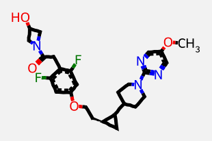 COc1cnc(N2CCC(C3C[C@H]3CCOc3cc(F)c(CC(=O)N4CC(O)C4)c(F)c3)CC2)nc1